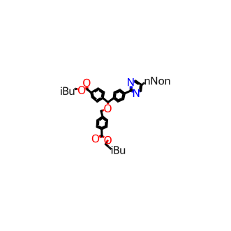 CCCCCCCCCc1cnc(-c2ccc(C(OCc3ccc(C(=O)OCC(C)CC)cc3)c3ccc(C(=O)OCC(C)CC)cc3)cc2)nc1